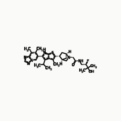 Cc1c(-c2[nH]c3sc([C@@H]4C[C@@H]5C[C@H]4CN5CC(=O)NC[C@@H](F)C(C)(C)O)c(C)c3c2C(C)C)cn2ncnc2c1C